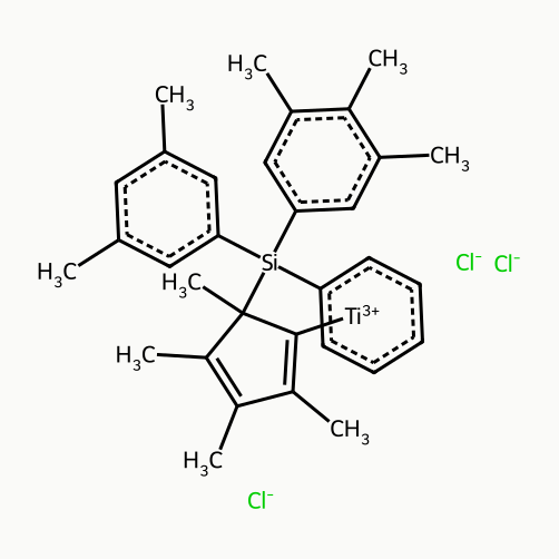 CC1=C(C)C(C)([Si](c2ccccc2)(c2cc(C)cc(C)c2)c2cc(C)c(C)c(C)c2)[C]([Ti+3])=C1C.[Cl-].[Cl-].[Cl-]